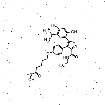 CCNC(=O)c1noc(-c2cc(C(C)C)c(O)cc2O)c1-c1ccc(OCCCCC(=O)NO)cc1